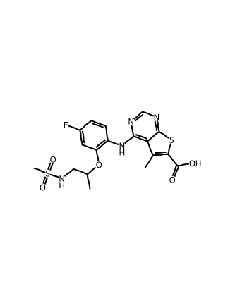 Cc1c(C(=O)O)sc2ncnc(Nc3ccc(F)cc3OC(C)CNS(C)(=O)=O)c12